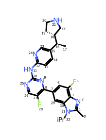 Cc1nc2c(F)cc(-c3nc(Nc4ccc([C@H](C)[C@@H]5CCNC5)cn4)ncc3F)cc2n1C(C)C